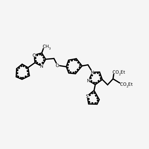 CCOC(=O)C(Cc1cn(Cc2ccc(OCc3nc(-c4ccccc4)oc3C)cc2)nc1-c1cccs1)C(=O)OCC